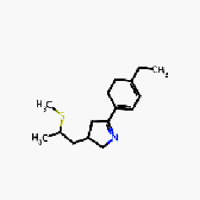 CCC1=CC=C(C2=NCC(CC(C)SC)C2)CC1